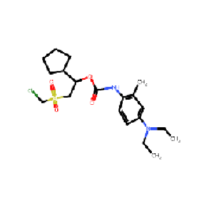 CCN(CC)c1ccc(NC(=O)OC(CS(=O)(=O)CCl)C2CCCC2)c(C)c1